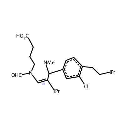 CNC(/C(=C\N(C=O)CCCC(=O)O)C(C)C)c1ccc(CCC(C)C)c(Cl)c1